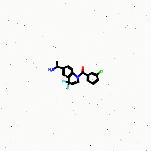 CC(N)c1ccc2c(c1)C(F)(F)C=CN2C(=O)c1cccc(Cl)c1